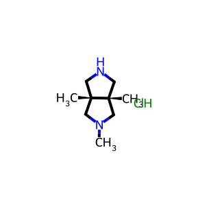 CN1C[C@]2(C)CNC[C@]2(C)C1.Cl